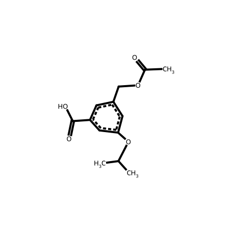 CC(=O)OCc1cc(OC(C)C)cc(C(=O)O)c1